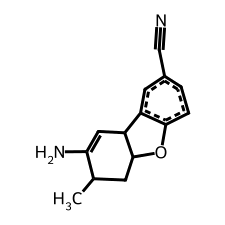 CC1CC2Oc3ccc(C#N)cc3C2C=C1N